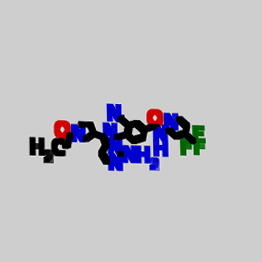 C=CC(=O)N1CCC(c2nc(-c3ccc(C(=O)Nc4cc(C(F)(F)F)ccn4)cc3C#N)n3c(N)nccc23)C1